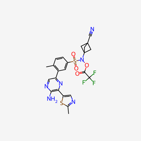 Cc1ncc(-c2nc(-c3cc(S(=O)(=O)N(OC(=O)C(F)(F)F)C45CC(C#N)(C4)C5)ccc3C)cnc2N)s1